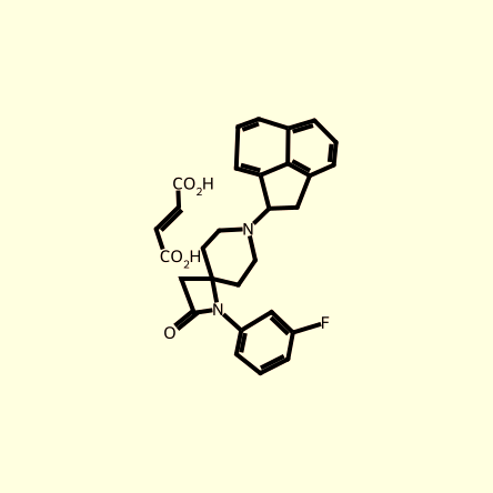 O=C(O)/C=C/C(=O)O.O=C1CC2(CCN(C3Cc4cccc5cccc3c45)CC2)N1c1cccc(F)c1